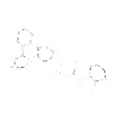 CCCCCN(CC(=O)Nc1c(C(C)C)cccc1C(C)C)Cc1ccc(-c2ccccc2-c2nnn[nH]2)cc1